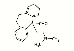 CN(C)CCC1(C=O)c2ccccc2CCc2ccccc21